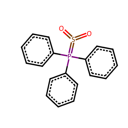 O=S(=O)=P(c1ccccc1)(c1ccccc1)c1ccccc1